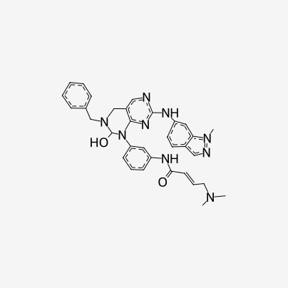 CN(C)C/C=C/C(=O)Nc1cccc(N2c3nc(Nc4ccc5cnn(C)c5c4)ncc3CN(Cc3ccccc3)C2O)c1